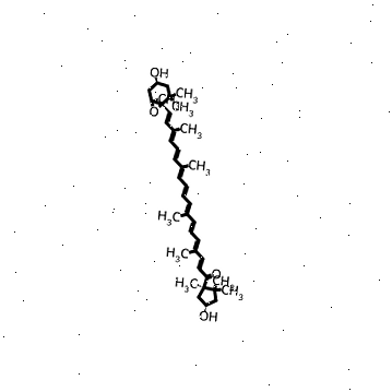 CC(/C=C/C=C(C)/C=C/C(=O)[C@]1(C)C[C@@H](O)CC1(C)C)=C\C=C\C=C(C)\C=C\C=C(C)\C=C\[C@@]12O[C@]1(C)C[C@@H](O)CC2(C)C